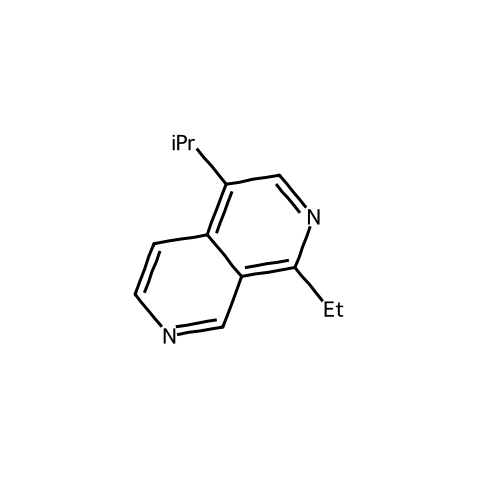 CCc1ncc(C(C)C)c2ccncc12